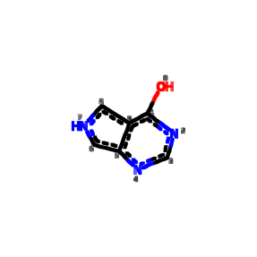 Oc1ncnc2c[nH]cc12